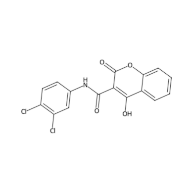 O=C(Nc1ccc(Cl)c(Cl)c1)c1c(O)c2ccccc2oc1=O